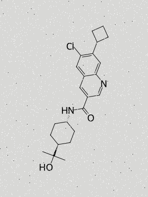 CC(C)(O)[C@H]1CC[C@H](NC(=O)c2cnc3cc(C4CCC4)c(Cl)cc3c2)CC1